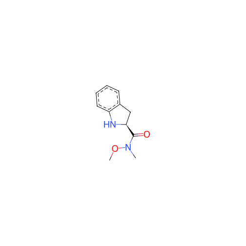 CON(C)C(=O)[C@@H]1Cc2ccccc2N1